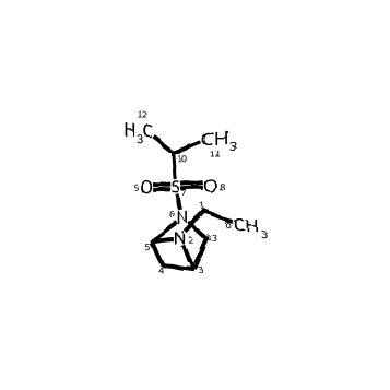 CCN1C2CC1N(S(=O)(=O)C(C)C)C2